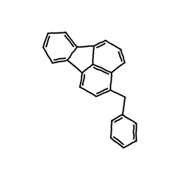 c1ccc(Cc2ccc3c4c(cccc24)-c2ccccc2-3)cc1